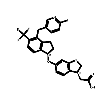 O=C(O)C[C@@H]1COc2cc(O[C@@H]3CCc4c3ccc(C(F)(F)F)c4Cc3ccc(F)nc3)ccc21